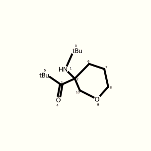 CC(C)(C)NC1(C(=O)C(C)(C)C)CCCOC1